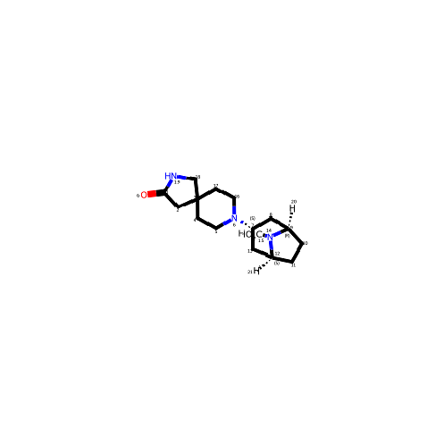 O=C1CC2(CCN([C@@H]3C[C@H]4CC[C@@H](C3)N4C(=O)O)CC2)CN1